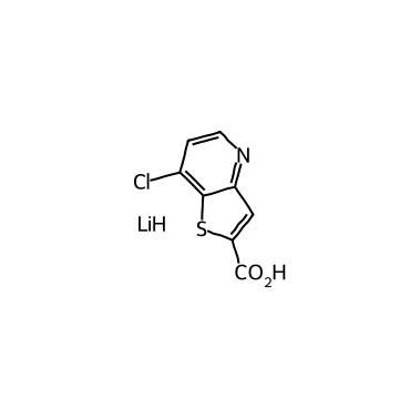 O=C(O)c1cc2nccc(Cl)c2s1.[LiH]